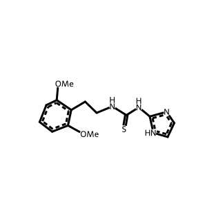 COc1cccc(OC)c1CCNC(=S)Nc1ncc[nH]1